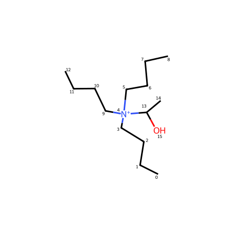 CCCC[N+](CCCC)(CCCC)C(C)O